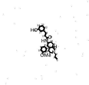 C=CCN1CC[C@@]2(c3cccc(OC)c3)C[C@@H](NC(=O)C=Cc3cccc(O)c3)CC[C@@H]2C1